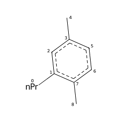 [CH2]CCc1cc(C)ccc1C